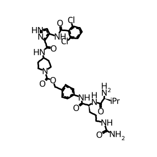 CC(C)[C@H](N)C(=O)N[C@@H](CCCNC(N)=O)C(=O)Nc1ccc(COC(=O)N2CCC(NC(=O)c3n[nH]cc3NC(=O)c3c(Cl)cccc3Cl)CC2)cc1